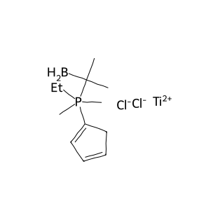 BC(C)(C)P(C)(C)(CC)C1=CC=CC1.[Cl-].[Cl-].[Ti+2]